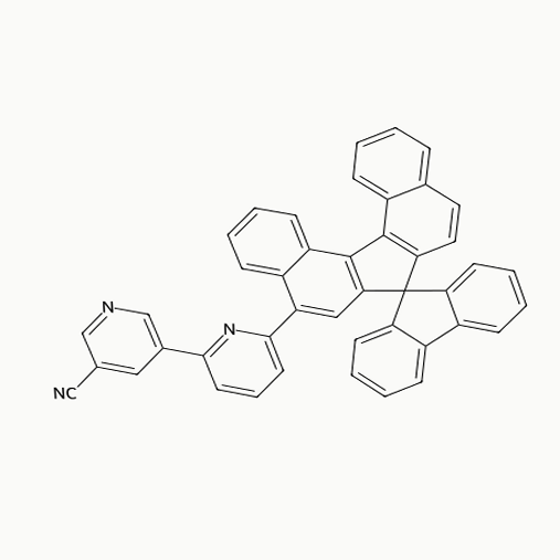 N#Cc1cncc(-c2cccc(-c3cc4c(c5ccccc35)-c3c(ccc5ccccc35)C43c4ccccc4-c4ccccc43)n2)c1